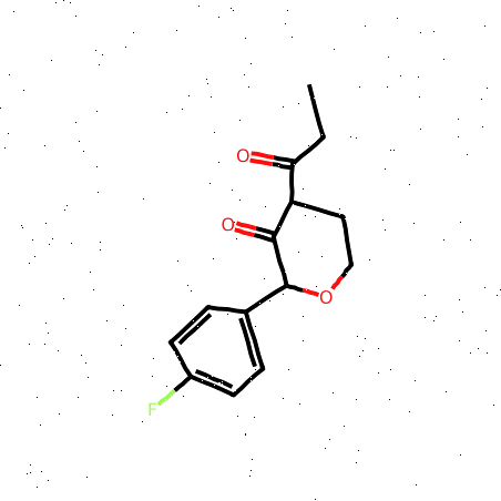 CCC(=O)C1CCOC(c2ccc(F)cc2)C1=O